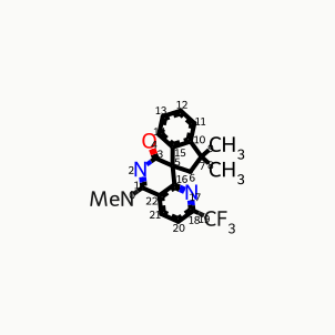 CNC1=NC(=O)C2(CC(C)(C)c3ccccc32)c2nc(C(F)(F)F)ccc21